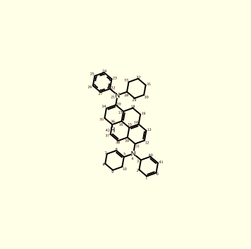 C1=CCC(N(C2=CCCCC2)C2C=CC3=C4C5=C(CC3)C(N(c3ccccc3)C3CCCCC3)=CC[C@@H]5C=CC42)C=C1